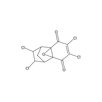 O=C1C(Cl)=C(Cl)C(=O)C23OC12C1CC3C(Cl)C1Cl